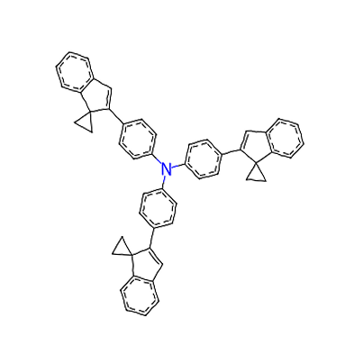 C1=C(c2ccc(N(c3ccc(C4=Cc5ccccc5C45CC5)cc3)c3ccc(C4=Cc5ccccc5C45CC5)cc3)cc2)C2(CC2)c2ccccc21